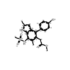 COC(=O)Cc1c(C)c(NS(C)(=O)=O)c2[nH]c(C)cc2c1-c1ccc(Cl)cc1